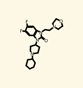 O=c1n(CCN2CCOCC2)c2cc(F)c(F)cc2n1C1CCN(C2CCCCC2)CC1